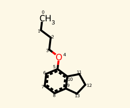 CCCCOc1cccc2c1CCC2